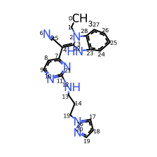 CCN1/C(=C(\C#N)c2ccnc(NCCCn3cccn3)n2)Nc2ccccc21